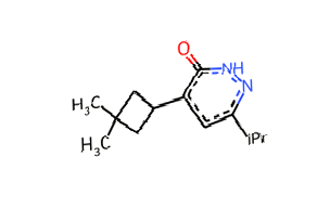 CC(C)c1cc(C2CC(C)(C)C2)c(=O)[nH]n1